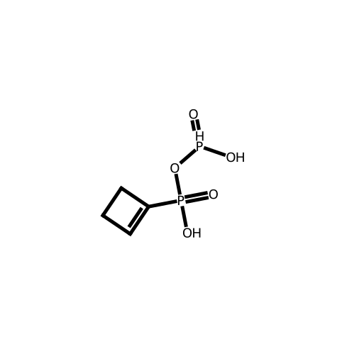 O=[PH](O)OP(=O)(O)C1=CCC1